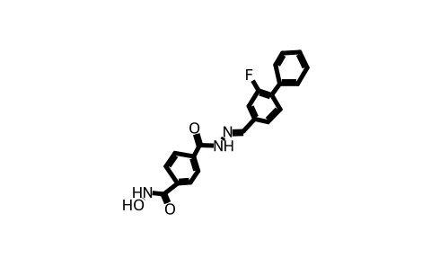 O=C(NO)c1ccc(C(=O)N/N=C/c2ccc(-c3ccccc3)c(F)c2)cc1